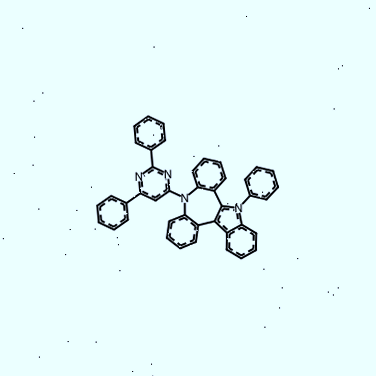 c1ccc(-c2cc(N3c4ccccc4-c4c(n(-c5ccccc5)c5ccccc45)-c4ccccc43)nc(-c3ccccc3)n2)cc1